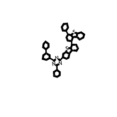 c1ccc(-c2cccc(-c3nc(-c4ccccc4)nc(-c4ccc5c(c4)sc4c(-c6ccc(-c7ccccc7)c7sc8ccccc8c67)cccc45)n3)c2)cc1